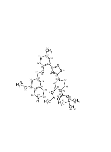 CCO[C@H]1CN(c2nc(-c3cc(C)ccc3OCc3cc4c(c(OC)c3)CNCC4)cs2)CC[C@H]1C(=O)OC(C)(C)C